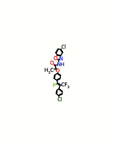 C[C@@H](Oc1ccc(/C(F)=C(/c2ccc(Cl)cc2)C(F)(F)F)cc1)C(=O)Nc1nc2cc(Cl)ccc2o1